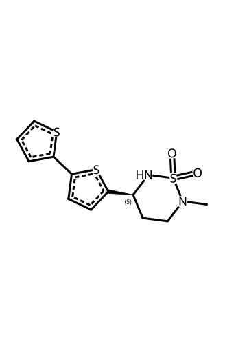 CN1CC[C@@H](c2ccc(-c3cccs3)s2)NS1(=O)=O